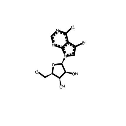 O[C@@H]1[C@H](O)[C@H](n2cc(Br)c3c(Cl)ncnc32)O[C@@H]1CCl